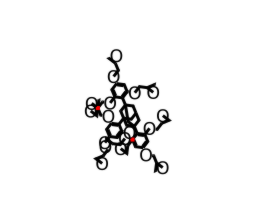 c1c(OCC2CO2)cc(OCC2CO2)c(C23CC4CC(c5c(OCC6CO6)cc(OCC6CO6)cc5OCC5CO5)(C2)CC(c2c(OCC5CO5)cc(OCC5CO5)cc2OCC2CO2)(C4)C3)c1OCC1CO1